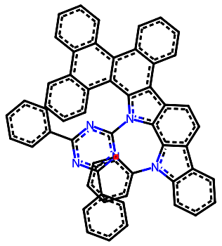 c1ccc(-c2nc(-c3ccccc3)nc(-n3c4c(c5ccccc5c5c6ccccc6c6ccccc6c54)c4ccc5c6ccccc6n(-c6ccccc6)c5c43)n2)cc1